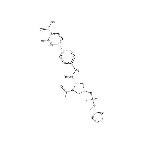 C1=NCCN1.COC(C)(C)OC1C[C@@H](C(=O)Nc2ccc(-c3ccc(C(=O)O)c(=O)[nH]3)cc2)N(C(C)=O)C1